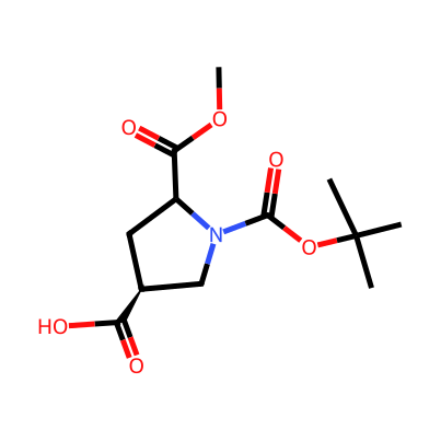 COC(=O)C1C[C@H](C(=O)O)CN1C(=O)OC(C)(C)C